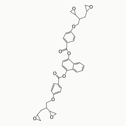 O=C(Oc1ccc(OC(=O)c2ccc(OCC(CC3CO3)C3CO3)cc2)c2ccccc12)c1ccc(OCC(CC2CO2)C2CO2)cc1